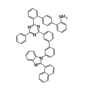 Nc1ccccc1-c1ccc(-c2ccccc2-c2nc(-c3ccccc3)nc(-c3cccc(-c4cccc(-n5c(-c6cccc7ccccc67)nc6ccccc65)c4)c3)n2)cc1